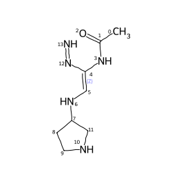 CC(=O)N/C(=C/NC1CCNC1)N=N